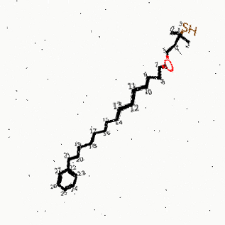 CC(C)(S)CCOCCCCCCCCCCCCCCCc1ccccc1